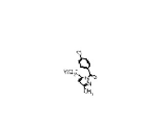 CCOC(=O)c1cc(C)nn1C(=O)c1ccc(Cl)cc1